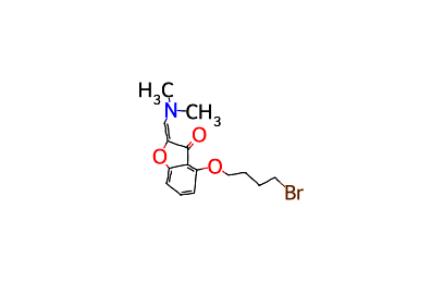 CN(C)C=C1Oc2cccc(OCCCCBr)c2C1=O